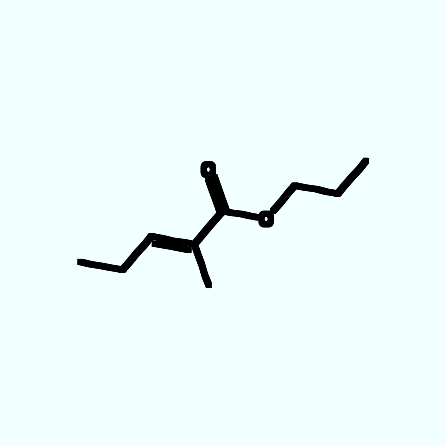 CC/C=C(\C)C(=O)OCCC